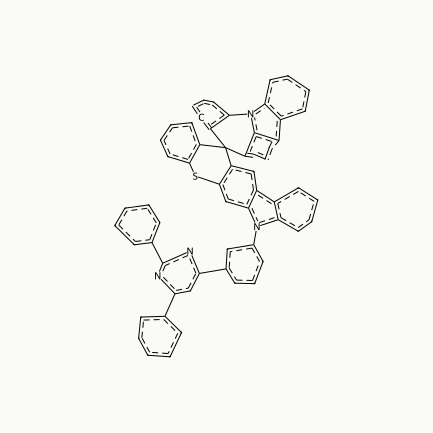 c1ccc(-c2cc(-c3cccc(-n4c5ccccc5c5cc6c(cc54)Sc4ccccc4C64c5ccccc5-n5c6ccccc6c6cccc4c65)c3)nc(-c3ccccc3)n2)cc1